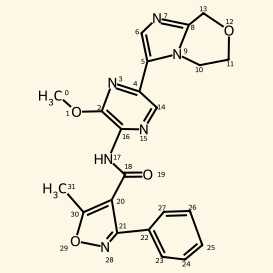 COc1nc(-c2cnc3n2CCOC3)cnc1NC(=O)c1c(-c2ccccc2)noc1C